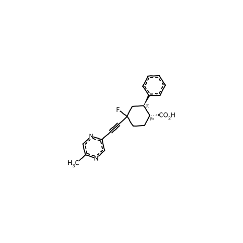 Cc1cnc(C#CC2(F)CC[C@@H](C(=O)O)[C@H](c3ccccc3)C2)cn1